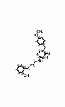 COc1ccc(Cc2cnc(NCCSCc3ncccc3O)[nH]c2=S)cc1